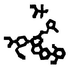 C=CC(=O)N1CCN(c2nc(OC[C@@H]3CCCN3C)nc3c2CCc2ccc(-c4c(O)cccc4F)cc2-3)C[C@@H]1CC#N.O=C(O)C(F)(F)F